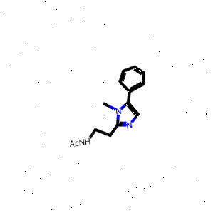 CC(=O)NCCc1ncc(-c2ccccc2)n1C